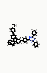 N#Cc1ccc(-c2ccc3c(c2)-c2cc(-c4ccc(-c5nc(-c6ccccc6)nc(-c6ccccc6)n5)cc4)ccc2C32C3CC4CC(C3)CC2C4)cc1